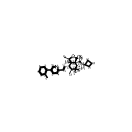 Cc1ccccc1-c1ccc(/C=C/[C@@H]2[C@@H]3[C@@H](C)OC(=O)[C@]3(C(=O)NC3CCC3)CC(F)(F)[C@H]2C)nc1